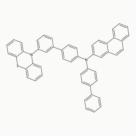 c1ccc(-c2ccc(N(c3ccc(-c4cccc(N5c6ccccc6Sc6ccccc65)c4)cc3)c3ccc4c(ccc5ccccc54)c3)cc2)cc1